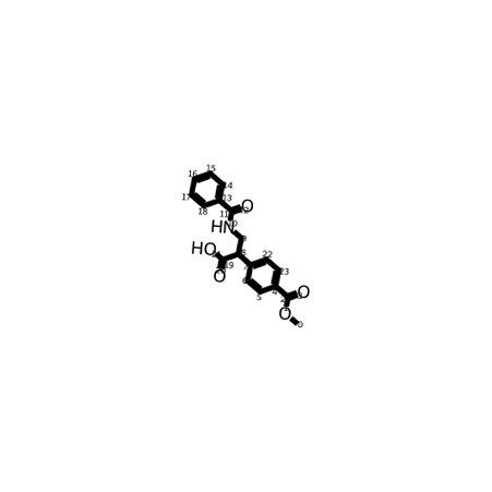 COC(=O)c1ccc(C(CNC(=O)c2ccccc2)C(=O)O)cc1